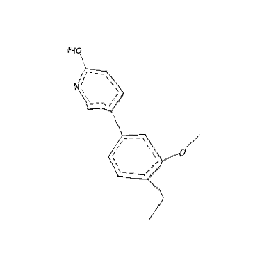 CCc1ccc(-c2ccc(O)nc2)cc1OC